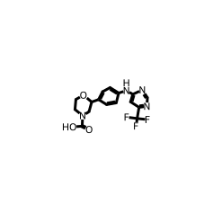 O=C(O)N1CCOC(c2ccc(Nc3cc(C(F)(F)F)ncn3)cc2)C1